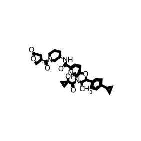 CC(NC(=O)C1(O)CC1)C(Oc1ccc(C(=O)N[C@H]2CCCN(C(=O)[C@H]3COC(=O)C3)C2)nc1)c1ccc(C2CC2)cc1